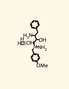 COc1ccc(CN(N)CC(O)C(N)Cc2ccccc2)cc1.Cl.Cl.Cl